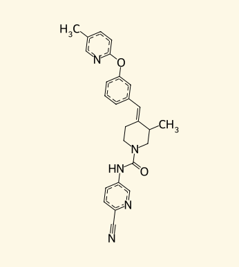 Cc1ccc(Oc2cccc(/C=C3\CCN(C(=O)Nc4ccc(C#N)nc4)CC3C)c2)nc1